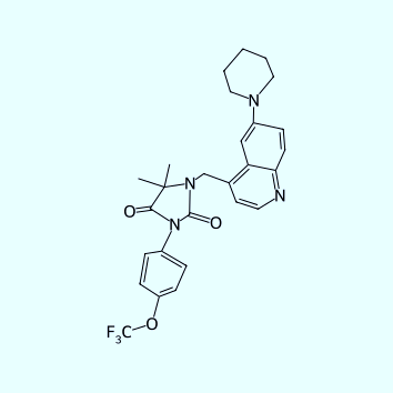 CC1(C)C(=O)N(c2ccc(OC(F)(F)F)cc2)C(=O)N1Cc1ccnc2ccc(N3CCCCC3)cc12